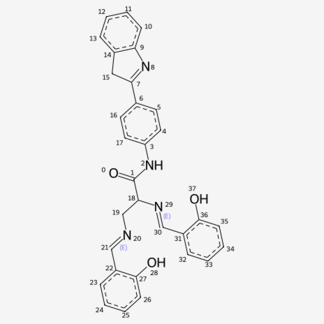 O=C(Nc1ccc(C2=Nc3ccccc3C2)cc1)C(C/N=C/c1ccccc1O)/N=C/c1ccccc1O